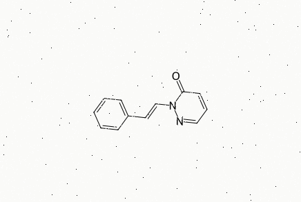 O=c1cccnn1/C=C/c1ccccc1